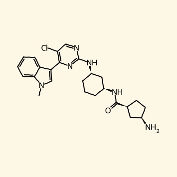 Cn1cc(-c2nc(N[C@@H]3CCC[C@H](NC(=O)[C@H]4CC[C@@H](N)C4)C3)ncc2Cl)c2ccccc21